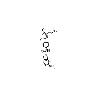 CC1CC(=O)N(CCN(C)C)N=C1c1ccc(NC(=O)N2Cc3ccc(N)nc3C2)cc1